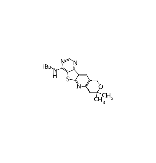 CCC(C)Nc1ncnc2c1sc1nc3c(cc12)COC(C)(C)C3